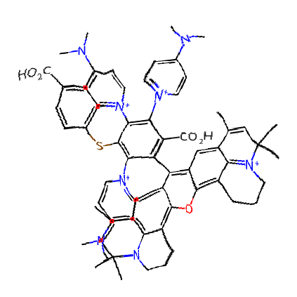 CC1=CC(C)(C)N2CCCc3c4c(cc1c32)C(c1c(C(=O)O)c(-[n+]2ccc(N(C)C)cc2)c(-[n+]2ccc(N(C)C)cc2)c(Sc2ccc(C(=O)O)cc2)c1-[n+]1ccc(N(C)C)cc1)=c1cc2c3c(c1O4)CCC[N+]=3C(C)(C)C=C2C